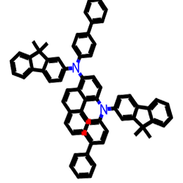 CC1(C)c2ccccc2-c2ccc(N(c3ccc(-c4ccccc4)cc3)c3ccc(N(c4ccc(-c5ccccc5)cc4)c4ccc5c(c4)C(C)(C)c4ccccc4-5)c4c3ccc3ccccc34)cc21